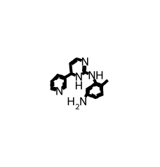 Cc1ccc(N)cc1NC1=NC=CC(c2cccnc2)N1